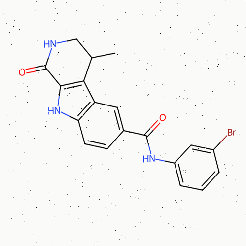 CC1CNC(=O)c2[nH]c3ccc(C(=O)Nc4cccc(Br)c4)cc3c21